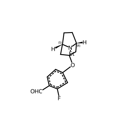 CCN1[C@@H]2CC[C@H]1CC(Oc1ccc(C=O)c(F)c1)C2